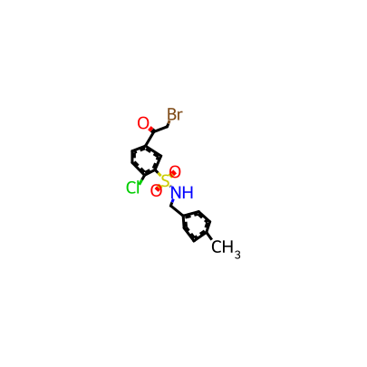 Cc1ccc(CNS(=O)(=O)c2cc(C(=O)CBr)ccc2Cl)cc1